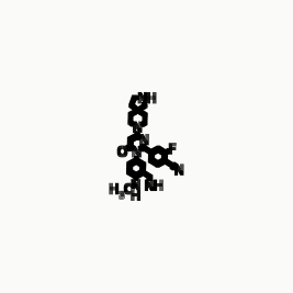 CNc1ccc(-n2c(-c3ccc(C#N)c(F)c3)nc(N3CCC4(CCNC4)CC3)cc2=O)cc1C=N